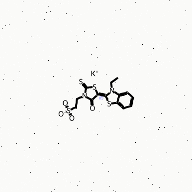 CCN1/C(=C2\SC(=S)N(CCS(=O)(=O)[O-])C2=O)Sc2ccccc21.[K+]